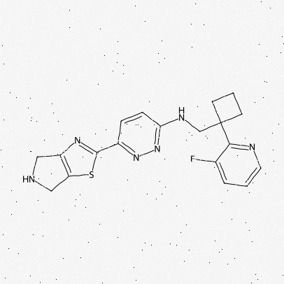 Fc1cccnc1C1(CNc2ccc(-c3nc4c(s3)CNC4)nn2)CCC1